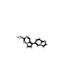 Nc1ncc2c(-c3ccc4nccn4c3)ccn2n1